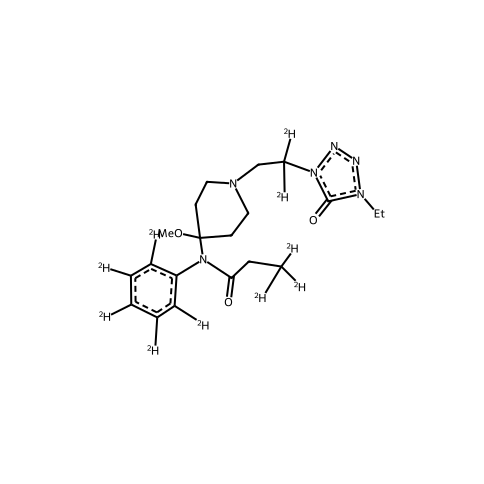 [2H]c1c([2H])c([2H])c(N(C(=O)CC([2H])([2H])[2H])C2(OC)CCN(CC([2H])([2H])n3nnn(CC)c3=O)CC2)c([2H])c1[2H]